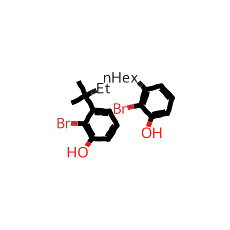 CCC(C)(C)c1cccc(O)c1Br.CCCCCCc1cccc(O)c1Br